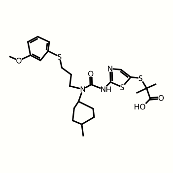 COc1cccc(SCCCN(C(=O)Nc2ncc(SC(C)(C)C(=O)O)s2)C2CCC(C)CC2)c1